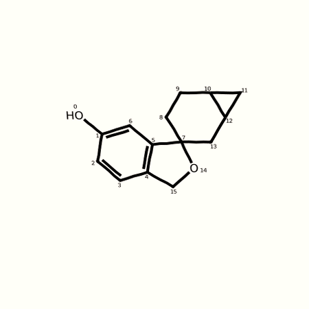 Oc1ccc2c(c1)C1(CCC3CC3C1)OC2